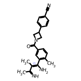 CC(=N)/C(C)=C(\N)c1cc(C(=O)N2CC(c3ccc(C#N)cc3)C2)ccc1C